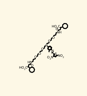 Cc1cc(N(CCOCCOCCCNC(=O)CC(C(=O)O)C2CCCCCCC2)CCOCCOCCOCCCNC(=O)CC(C(=O)O)C2CCCCCCC2)ccc1/N=N/c1sc([N+](=O)[O-])cc1[N+](=O)[O-]